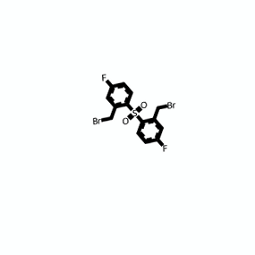 O=S(=O)(c1ccc(F)cc1CBr)c1ccc(F)cc1CBr